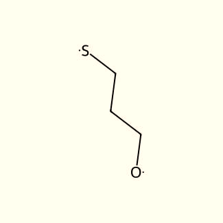 [O]CCC[S]